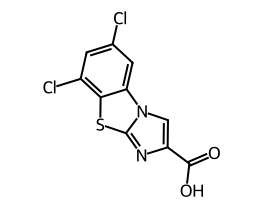 O=C(O)c1cn2c(n1)sc1c(Cl)cc(Cl)cc12